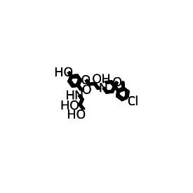 O=C(NCC(O)CO)c1ccc(O)cc1OC[C@@H](O)CN1CCC2(CC1)OCc1cc(Cl)ccc12